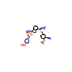 C=N/C=C(\SCc1ccc(OC(C)C)c(C#N)c1)c1cccc2c1CCC2NS(=O)(=O)CCN1CCC(O)CC1